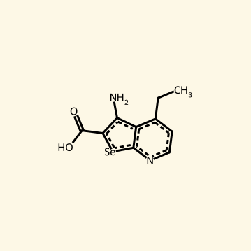 CCc1ccnc2[se]c(C(=O)O)c(N)c12